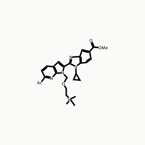 COC(=O)c1ccc2c(c1)nc(-c1cc3ccc(C(C)=O)nc3n1COCC[Si](C)(C)C)n2C1CC1